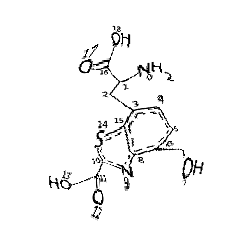 NC(Cc1ccc(O)c2nc(C(=O)O)sc12)C(=O)O